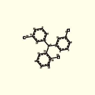 Clc1cccc(P(c2cccc(Cl)c2)c2cccnc2Cl)c1